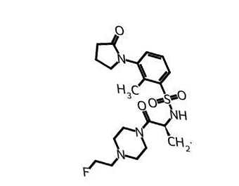 [CH2][C@H](NS(=O)(=O)c1cccc(N2CCCC2=O)c1C)C(=O)N1CCN(CCF)CC1